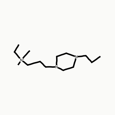 CCCN1CCN(CCC[N+](C)(C)CC)CC1